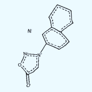 O=c1c[n+](-c2ccc3ccccc3c2)[n-]o1.[N]